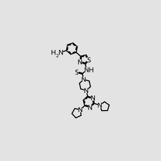 Nc1cccc(-c2csc(NC(=S)N3CCN(c4cc(N5CCCC5)nc(N5CCCC5)n4)CC3)n2)c1